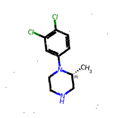 C[C@@H]1CNCCN1c1ccc(Cl)c(Cl)c1